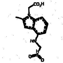 Cc1cc2c(NC[SH](=O)=O)cccc2n1CC(=O)O